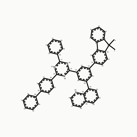 CC1(C)c2ccccc2-c2cc(-c3cc(-c4nc(-c5ccccc5)nc(-c5ccc(-c6ccccc6)cc5)n4)cc(-c4cccc5cccnc45)c3)ccc21